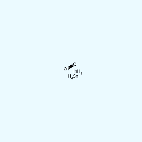 [InH3].[O]=[Zn].[SnH4]